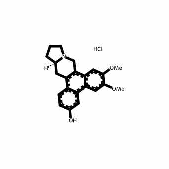 COc1cc2c3c(c4ccc(O)cc4c2cc1OC)C[C@H]1CCCN1C3.Cl